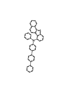 c1ccc(-c2ccc(-c3ccc(N(c4ccccc4)c4cccc5sc6c7ccccc7ccc6c45)cc3)cc2)cc1